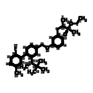 CCOP(C)(=O)[C@H](C)Cc1cccc(OCc2ccc(-c3cc(C)ncc3F)c([C@@H](C)C(C)(C)C)c2)c1